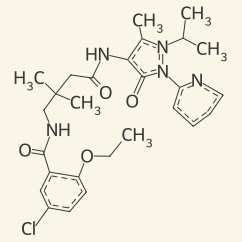 CCOc1ccc(Cl)cc1C(=O)NCC(C)(C)CC(=O)Nc1c(C)n(C(C)C)n(-c2ccccn2)c1=O